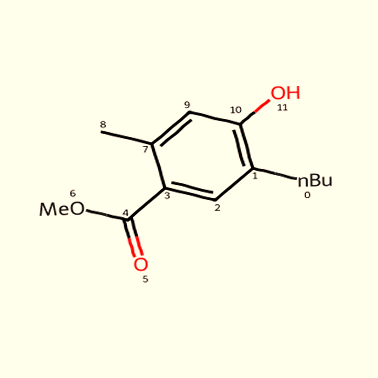 CCCCc1cc(C(=O)OC)c(C)cc1O